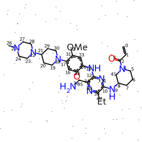 C=CC(=O)N1CCC[C@@H](Nc2nc(Nc3ccc(N4CCC(N5CCN(C)CC5)CC4)c(OC)c3)c(C(N)=O)nc2CC)C1